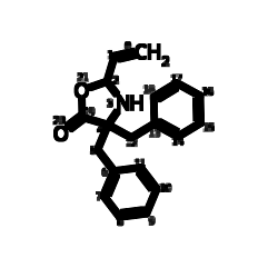 C=CC1NC(Cc2ccccc2)(Cc2ccccc2)C(=O)O1